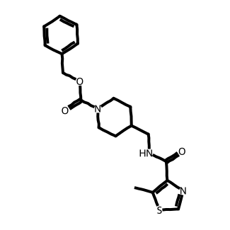 Cc1scnc1C(=O)NCC1CCN(C(=O)OCc2ccccc2)CC1